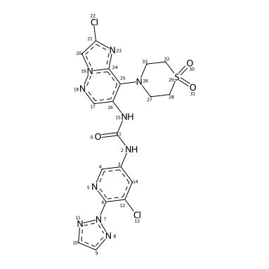 O=C(Nc1cnc(-n2nccn2)c(Cl)c1)Nc1cnn2cc(Cl)nc2c1N1CCS(=O)(=O)CC1